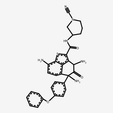 N#CN1CCCC(NC(=O)c2sc3c(N)ccc4c3c2C(N)C(=O)C4(N)c2ccc(Oc3ccccc3)cc2)C1